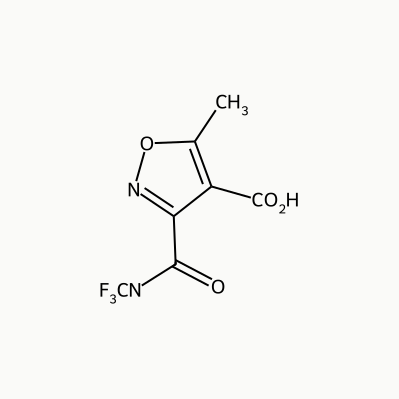 Cc1onc(C(=O)NC(F)(F)F)c1C(=O)O